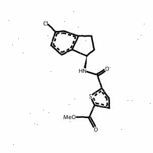 COC(=O)c1ccc(C(=O)N[C@@H]2CCc3cc(Cl)ccc32)s1